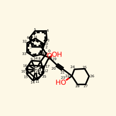 O=C(c1ccccc1)[C]12[CH]3[CH]4[CH]5[CH]1[Fe]45321678[CH]2[CH]1[CH]6[C]7(C(O)(C#CC1(O)CCCCC1)c1ccccc1)[CH]28